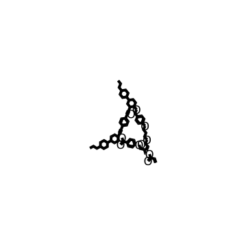 C=CC(=O)OCCCOc1ccc(C(=O)OC2CCC(C3CCC(CCC)CC3)CC2C#Cc2ccc(C#CC3(OC(=O)c4ccc(OCCCOC(=O)C=C)cc4)CCC(C4CCC(CCC)CC4)CC3)cc2)cc1